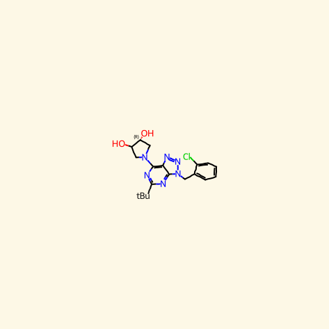 CC(C)(C)c1nc(N2CC(O)[C@H](O)C2)c2nnn(Cc3ccccc3Cl)c2n1